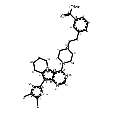 COC(=O)c1cccc(CCN2CCN(c3ncnc4c(-c5nc(C)c(C)s5)c5n(c34)CCCC5)CC2)c1